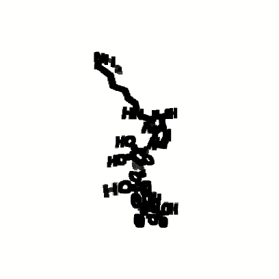 NCCCCCCNc1nc(S)c2ncn([C@@H]3O[C@H](COP(=O)(O)OP(=O)(O)OP(=O)(O)O)C(O)C3O)c2n1